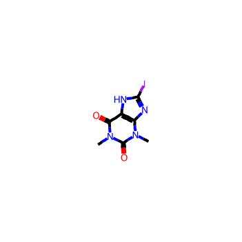 Cn1c(=O)c2[nH]c(I)nc2n(C)c1=O